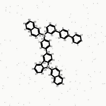 c1ccc(-c2ccc(-c3cccc(N(c4ccc(-c5ccc6c(c5)c5ccccc5n6-c5ccc6ccccc6c5)cc4)c4ccc5ccccc5c4)c3)cc2)cc1